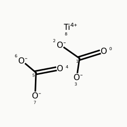 O=C([O-])[O-].O=C([O-])[O-].[Ti+4]